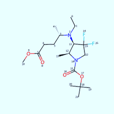 CCN([C@@H](C)CCC(=O)OC)[C@@H]1[C@H](C)N(C(=O)OC(C)(C)C)CC1(F)F